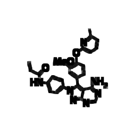 C=CC(=O)Nc1ccc(-n2nc3ncnc(N)c3c2-c2ccc(Oc3cccc(C)n3)c(OC)c2)cc1